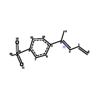 C=C/C=C(\C)c1ccc(S(C)(=O)=O)cc1